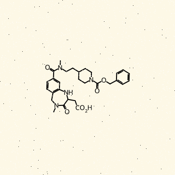 CN(CCC1CCN(C(=O)OCc2ccccc2)CC1)C(=O)c1ccc2c(c1)NC(CC(=O)O)C(=O)N(C)C2